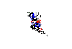 COc1cccc(OC)c1-n1c(N[S+]([O-])C(C)C(O)c2ncc(F)cn2)nnc1-c1ccc(C)o1